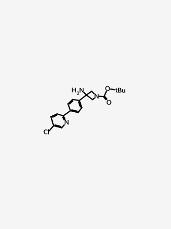 CC(C)(C)OC(=O)N1CC(N)(c2ccc(-c3ccc(Cl)cn3)cc2)C1